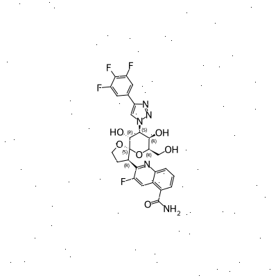 NC(=O)c1cccc2nc([C@H]3CCO[C@]34O[C@H](CO)[C@H](O)[C@H](n3cc(-c5cc(F)c(F)c(F)c5)nn3)[C@H]4O)c(F)cc12